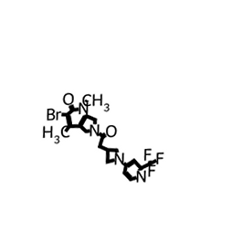 Cc1c2c(n(C)c(=O)c1Br)CN(C(=O)CC1CN(c3ccnc(C(F)(F)F)c3)C1)C2